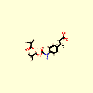 CC(C)C(=O)O[C@H](OC(=O)Nc1ccc([C@H](C)CC(=O)O)cc1)C(C)C